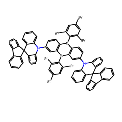 CC(C)c1cc(C(C)C)c(B2c3ccc(N4c5ccccc5C5(c6ccccc6-c6ccccc65)c5ccccc54)cc3B(c3c(C(C)C)cc(C(C)C)cc3C(C)C)c3cc(N4c5ccccc5C5(c6ccccc6-c6ccccc65)c5ccccc54)ccc32)c(C(C)C)c1